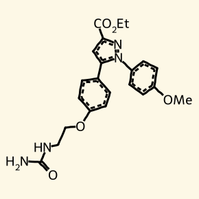 CCOC(=O)c1cc(-c2ccc(OCCNC(N)=O)cc2)n(-c2ccc(OC)cc2)n1